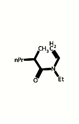 C=CN(CC)C(=O)C(C)CCC